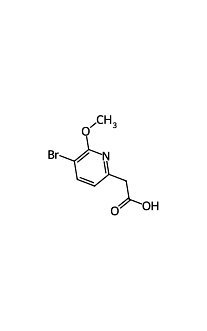 COc1nc(CC(=O)O)ccc1Br